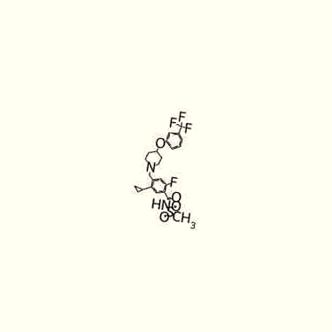 CS(=O)(=O)NC(=O)c1cc(C2CC2)c(CN2CCC(Oc3cccc(C(F)(F)F)c3)CC2)cc1F